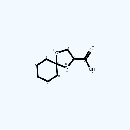 O=C(O)C1COC2(CCCCC2)N1